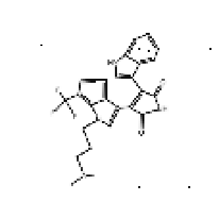 CN(C)CCCn1cc(C2=C(c3c[nH]c4ccccc34)C(=O)NC2=O)c2cccc(C(F)(F)F)c21